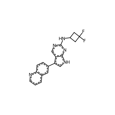 FC1(F)CC(Nc2ncc3c(-c4ccc5ncccc5c4)c[nH]c3n2)C1